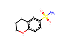 NS(=O)(=O)c1ccc2c(c1)CCCO2